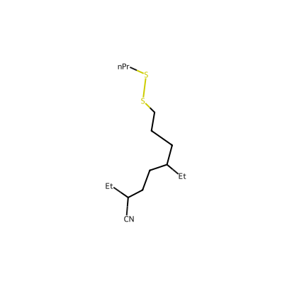 CCCSSCCCC(CC)CCC(C#N)CC